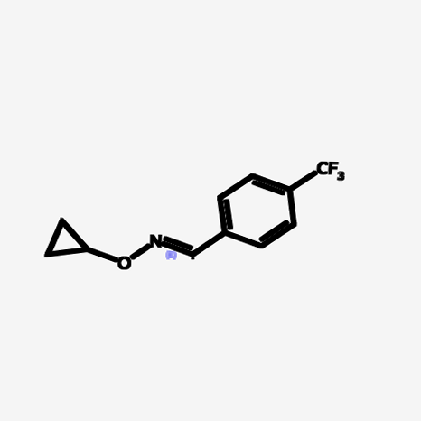 FC(F)(F)c1ccc(/[C]=N/OC2CC2)cc1